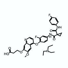 CCN(CC)CC.COc1cc2c(Oc3ccc(NC(=O)C4(C(=O)Nc5ccc(F)cc5)CC4)cc3F)ccnc2cc1OCCC(=O)O